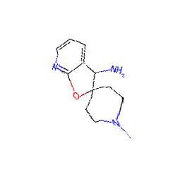 CN1CCC2(CC1)Oc1ncccc1C2N